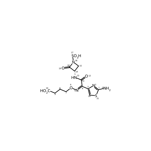 Nc1nc(C(=NOCCCC(=O)O)C(=O)N[C@H]2CN(S(=O)(=O)O)C2=O)cs1